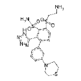 NCCS(=O)(=O)c1ccc(-c2cccc(N3CCSCC3)c2)c(-c2nnn[nH]2)c1S(N)(=O)=O